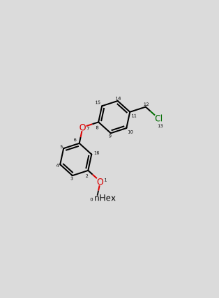 CCCCCCOc1cccc(Oc2ccc(CCl)cc2)c1